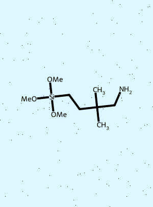 CO[Si](CCC(C)(C)CN)(OC)OC